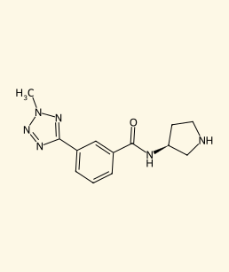 Cn1nnc(-c2cccc(C(=O)N[C@H]3CCNC3)c2)n1